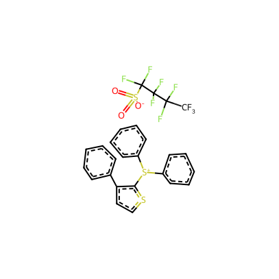 O=S(=O)([O-])C(F)(F)C(F)(F)C(F)(F)C(F)(F)F.c1ccc(-c2ccsc2[S+](c2ccccc2)c2ccccc2)cc1